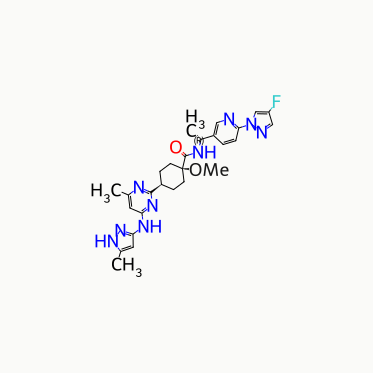 CO[C@]1(C(=O)N[C@H](C)c2ccc(-n3cc(F)cn3)nc2)CC[C@H](c2nc(C)cc(Nc3cc(C)[nH]n3)n2)CC1